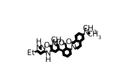 CCc1cc(Nc2cc(-c3cccc(-n4ccc5cc(N(C)C)ccc5c4=O)c3CO)cn(C)c2=O)n[nH]1